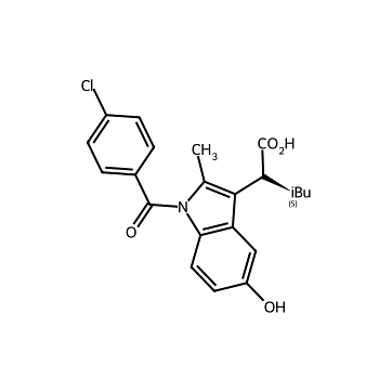 CC[C@H](C)C(C(=O)O)c1c(C)n(C(=O)c2ccc(Cl)cc2)c2ccc(O)cc12